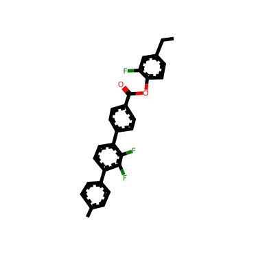 CCc1ccc(OC(=O)c2ccc(-c3ccc(-c4ccc(C)cc4)c(F)c3F)cc2)c(F)c1